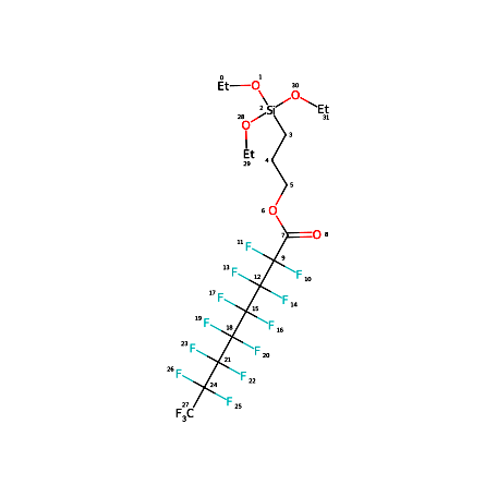 CCO[Si](CCCOC(=O)C(F)(F)C(F)(F)C(F)(F)C(F)(F)C(F)(F)C(F)(F)C(F)(F)F)(OCC)OCC